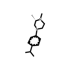 CC(C)c1ccc(N2CCN(C)[C@@H](C)C2)cc1